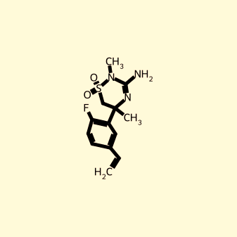 C=Cc1ccc(F)c(C2(C)CS(=O)(=O)N(C)C(N)=N2)c1